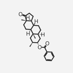 C[C@H]1C[C@@]2(C)[C@@H](CC[C@@H]3[C@@H]2CC[C@]2(C)C(=O)CC[C@@H]32)C[C@@H]1OC(=O)c1ccccc1